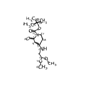 COC(CNC1=CC(=O)N(C(=O)OC(C)(C)C)CC1)OC